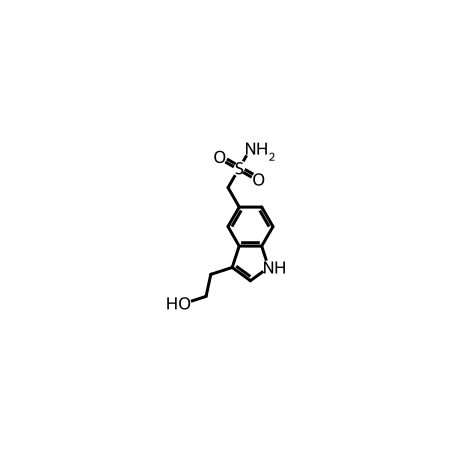 NS(=O)(=O)Cc1ccc2[nH]cc(CCO)c2c1